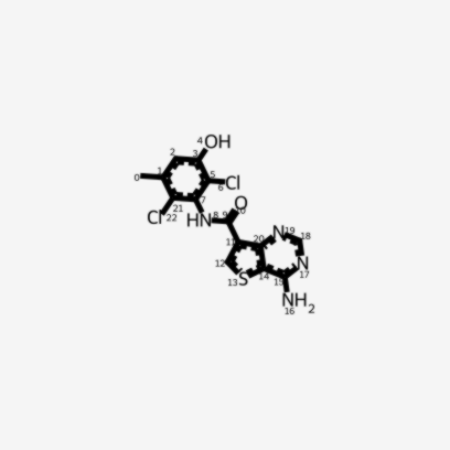 Cc1cc(O)c(Cl)c(NC(=O)c2csc3c(N)ncnc23)c1Cl